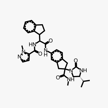 CNC(=O)C1(N2C[C@@H](C(C)C)NC2=O)Cc2ccc(NC(=O)C(NC(=O)c3ccnn3C)C3CCc4ccccc43)cc2C1